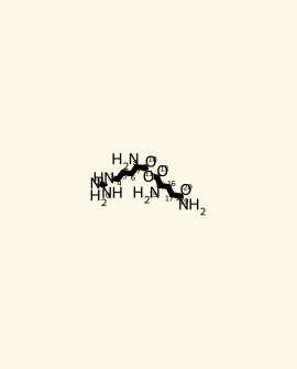 N=C(N)NCCC[C@@H](N)C(=O)OC(=O)[C@@H](N)CCC(N)=O